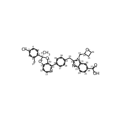 C[C@@]1(c2ccc(Cl)cc2F)Oc2ccnc(-c3ccc(Cc4nc5ccc(C(=O)O)cc5n4C[C@@H]4CCO4)cc3)c2O1